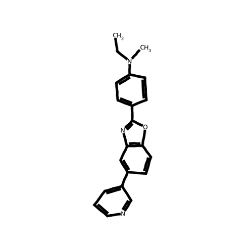 CCN(C)c1ccc(-c2nc3cc(-c4cccnc4)ccc3o2)cc1